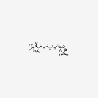 CCC(C)(OC(C)=O)C(=O)CCCCCCCCC(=O)OC(CC)(CC)C(C)=O